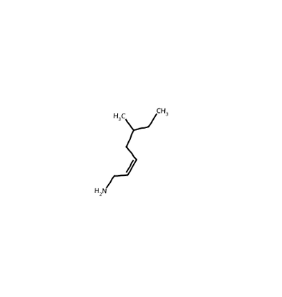 CCC(C)C/C=C\CN